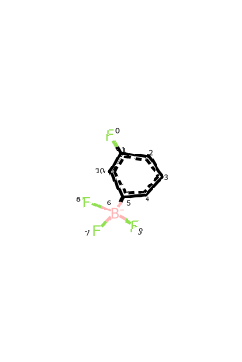 Fc1cccc([B-](F)(F)F)c1